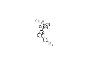 N#C[C@@H](CC(=O)O)NC(=O)c1cnc2c(C3=CCC(C(F)(F)F)CC3)cccc2c1